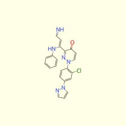 N=C/C=C(\Nc1ccccc1)c1nn(-c2ccc(-n3cccn3)cc2Cl)ccc1=O